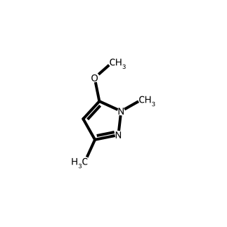 COc1cc(C)nn1C